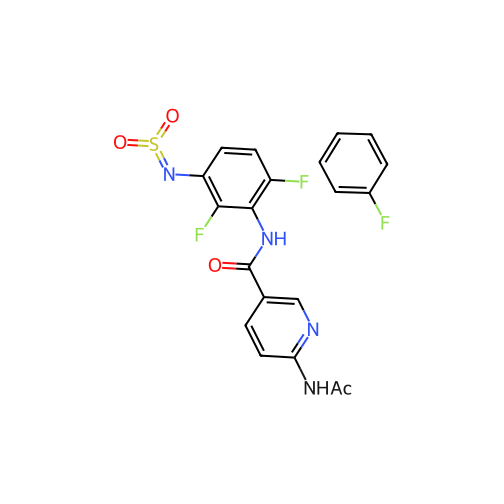 CC(=O)Nc1ccc(C(=O)Nc2c(F)ccc(N=S(=O)=O)c2F)cn1.Fc1ccccc1